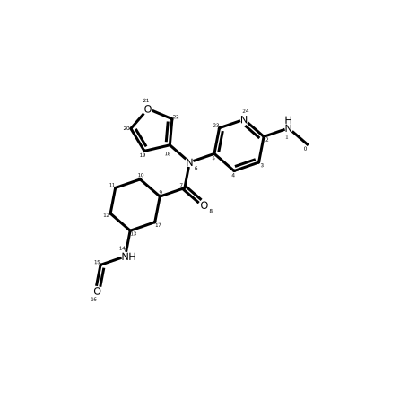 CNc1ccc(N(C(=O)C2CCCC(NC=O)C2)c2ccoc2)cn1